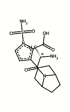 C[C@H](N)C(=O)N1C2CCC1CC(c1ccn(S(N)(=O)=O)c1C(=O)O)C2